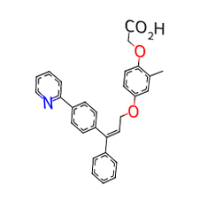 Cc1cc(OC/C=C(/c2ccccc2)c2ccc(-c3ccccn3)cc2)ccc1OCC(=O)O